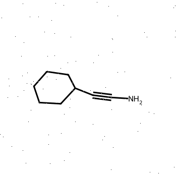 NC#CC1CCCCC1